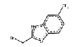 FC(F)(F)c1ccc2oc(CBr)nc2c1